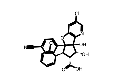 CC1C=CC=CC1[C@@H]1[C@@H](C(=O)O)[C@@H](O)[C@@]2(O)c3ncc(Cl)cc3O[C@@]12c1ccc(C#N)cc1